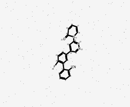 N#Cc1ccccc1-c1cc(-c2cnnc(-n3ccccc3=O)c2)ccc1F